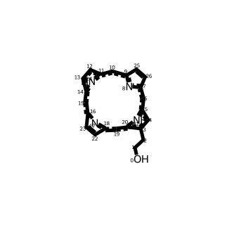 OCCc1cc2cc3nc(cc4ccc(cc5nc(cc1[nH]2)C=C5)[nH]4)C=C3